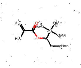 C=C(C)C(=O)OC(CCCCCCCCCC)[Si](OC)(OC)OC